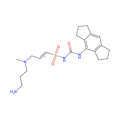 CN(C/C=C/S(=O)(=O)NC(=O)Nc1c2c(cc3c1CCC3)CCC2)CCCN